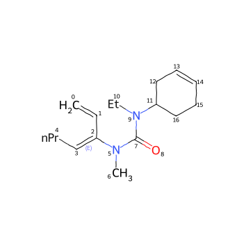 C=C/C(=C\CCC)N(C)C(=O)N(CC)C1CC=CCC1